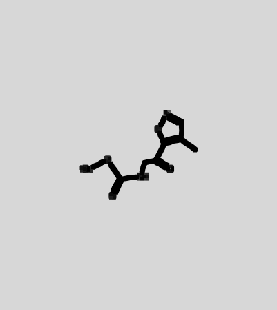 Cc1cnoc1C(=O)CNC(=O)OC(C)(C)C